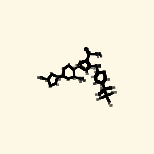 NC(=O)c1cn([C@H]2CCC(N3CC[C@@H](F)C3)C[C@@H]2N)nc1Nc1ccc(S(=O)(=O)C(F)(F)F)cc1